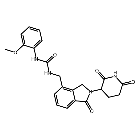 COc1ccccc1NC(=O)NCc1cccc2c1CN(C1CCC(=O)NC1=O)C2=O